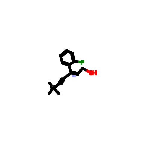 C[Si](C)(C)C#C/C(=C/CO)c1ccccc1F